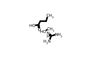 CCCC(=O)O.CO.N=C(N)N